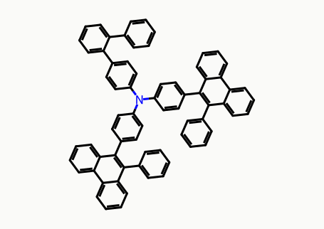 c1ccc(-c2ccccc2-c2ccc(N(c3ccc(-c4c(-c5ccccc5)c5ccccc5c5ccccc45)cc3)c3ccc(-c4c(-c5ccccc5)c5ccccc5c5ccccc45)cc3)cc2)cc1